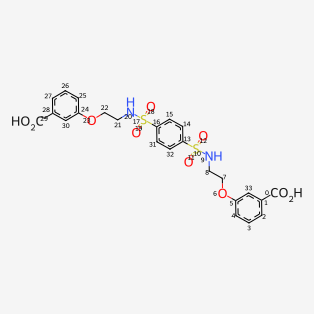 O=C(O)c1cccc(OCCNS(=O)(=O)c2ccc(S(=O)(=O)NCCOc3cccc(C(=O)O)c3)cc2)c1